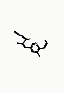 C=C/C=C(/F)C(C)=Cc1cnc(/C=C\C)c(C)c1